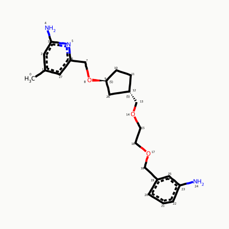 Cc1cc(N)nc(CO[C@H]2CC[C@H](COCCOCc3cccc(N)c3)C2)c1